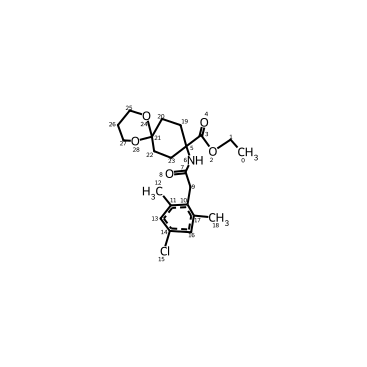 CCOC(=O)C1(NC(=O)Cc2c(C)cc(Cl)cc2C)CCC2(CC1)OCCCO2